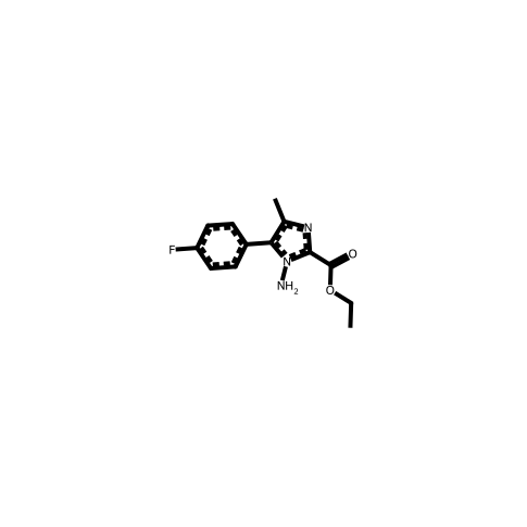 CCOC(=O)c1nc(C)c(-c2ccc(F)cc2)n1N